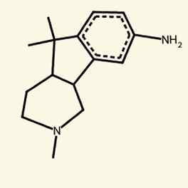 CN1CCC2C(C1)c1cc(N)ccc1C2(C)C